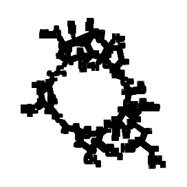 C=C1C[C@@H]2CC[C@]34C[C@@H](OC)[C@H](O3)[C@H]3C[C@@H](O4)[C@H]4O[C@H](CC[C@@H]4O3)CC(=O)C[C@@H]3[C@@H](OC)[C@@H](C[C@H](O)CN)O[C@H]3CC3O[C@@H](CCC1O2)C[C@@H](C)C3=C